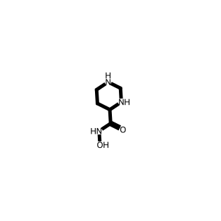 O=C(NO)C1CCNCN1